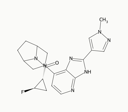 Cn1cc(-c2nc3c(N4CC5CCC(C4)N5C(=O)[C@@H]4C[C@H]4F)ccnc3[nH]2)cn1